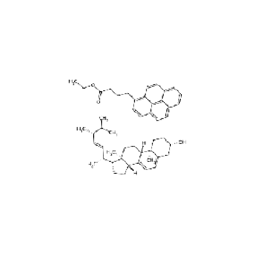 CC(C)[C@@H](C)C=C[C@@H](C)[C@H]1CC[C@H]2C3=CC=C4C[C@@H](O)CC[C@]4(C)[C@H]3CC[C@]12C.CCOC(=O)CCCc1ccc2ccc3cccc4ccc1c2c34